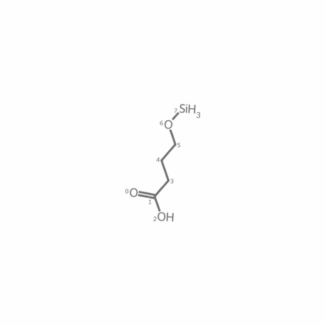 O=C(O)CCCO[SiH3]